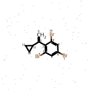 C=C(c1c(Br)cc(Br)cc1Br)C1CC1